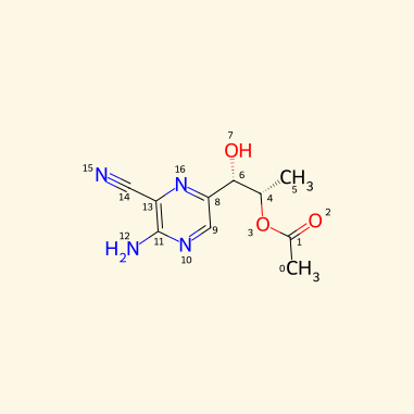 CC(=O)O[C@@H](C)[C@@H](O)c1cnc(N)c(C#N)n1